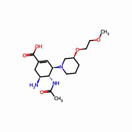 COCCO[C@H]1CCCN([C@@H]2C=C(C(=O)O)C[C@H](N)[C@H]2NC(C)=O)C1